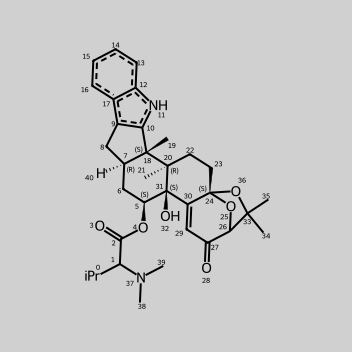 CC(C)C(C(=O)O[C@H]1C[C@H]2Cc3c([nH]c4ccccc34)[C@]2(C)[C@@]2(C)CC[C@@]34OC(C(=O)C=C3[C@]12O)C(C)(C)O4)N(C)C